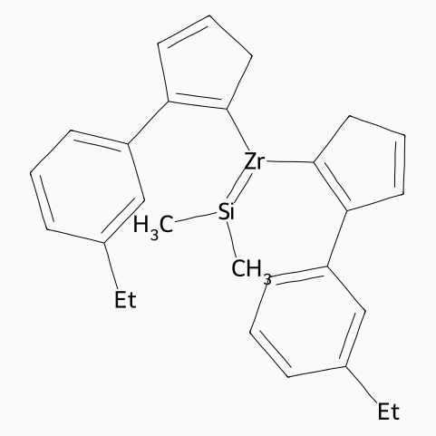 CCc1cccc(C2=[C]([Zr]([C]3=C(c4cccc(CC)c4)C=CC3)=[Si](C)C)CC=C2)c1